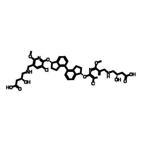 C=C(CNC[C@@H](O)CC(=O)O)/C(=N\C(O[C@H]1CCc2c(-c3cccc4c3CC[C@@H]4Oc3nc(OC)c(CNC[C@@H](O)CC(=O)O)cc3Cl)cccc21)=C(/C)Cl)OC